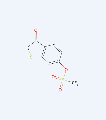 O=C1CSc2cc(OS(=O)(=O)C(F)(F)F)ccc21